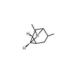 CC1CC2[C@H]3CC1N(C)C[C@H]23